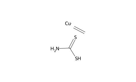 C=C.NC(=S)S.[Cu]